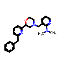 CN(C)c1ncccc1CN1CCOC(c2cccc(Cc3ccccc3)n2)C1